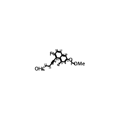 COCOc1cc(I)c2c(C#CCCC=O)c(F)ccc2c1